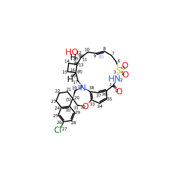 O=C1NS(=O)(=O)CC/C=C/C[C@@H](O)[C@@H]2CC[C@H]2CN2C[C@@]3(CCCc4cc(Cl)ccc43)COc3ccc1cc32